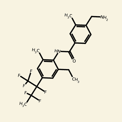 CCc1cc(C(F)(C(C)(F)F)C(F)(F)F)cc(C)c1NC(=O)c1ccc(CN)c(C)c1